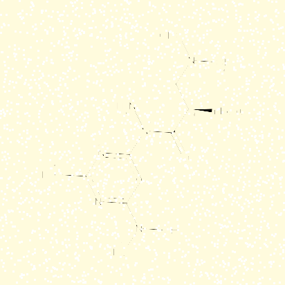 CCCCC[C@H](CN(O)C=O)C(=O)N(N)c1cc(N(C)C)nc(C)n1